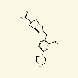 O=C(Cl)N1CC2=CN(Cc3ccc(N4CCOCC4)cc3C(F)(F)F)CC2C1